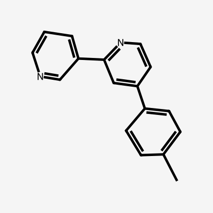 Cc1ccc(-c2ccnc(-c3cccnc3)c2)cc1